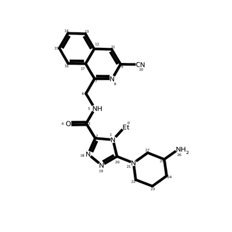 CCn1c(C(=O)NCc2nc(C#N)cc3ccccc23)nnc1N1CCCC(N)C1